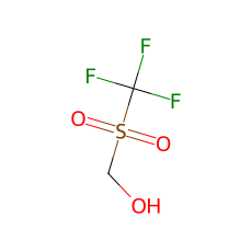 O=S(=O)(CO)C(F)(F)F